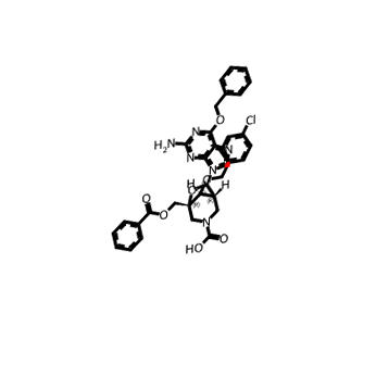 Nc1nc(OCc2ccccc2)c2ncn([C@@H]3O[C@@]4(COC(=O)c5ccccc5)CN(C(=O)O)C[C@@H]3[C@@H]4OCc3ccc(Cl)cc3)c2n1